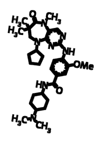 COc1cc(C(=O)NC2CCC(N(C)C)CC2)ccc1Nc1ncc2c(n1)N(C1CCCC1)CC(C)(C)C(=O)N2C